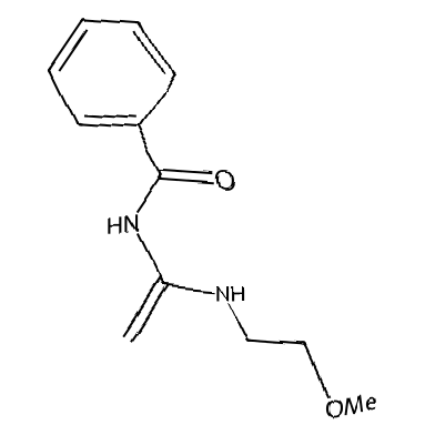 C=C(NCCOC)NC(=O)c1ccccc1